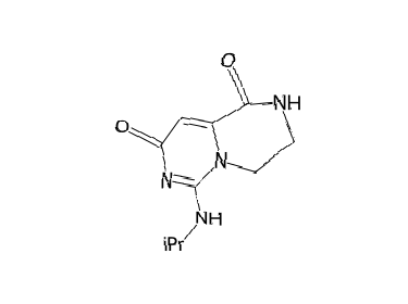 CC(C)Nc1nc(=O)cc2n1CCNC2=O